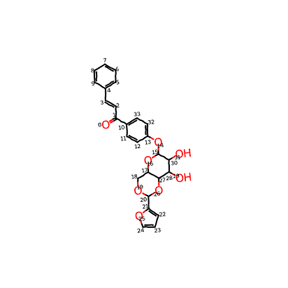 O=C(C=Cc1ccccc1)c1ccc(OC2OC3COC(c4ccco4)OC3C(O)C2O)cc1